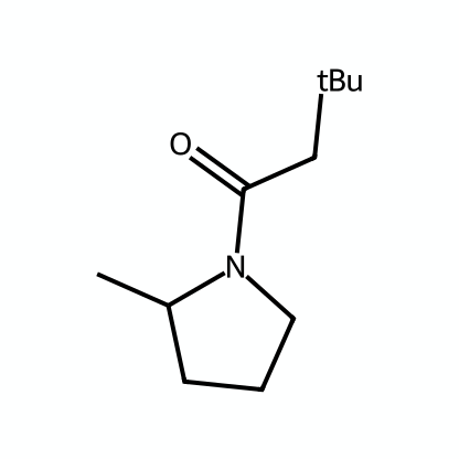 CC1CCCN1C(=O)CC(C)(C)C